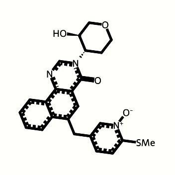 CSc1ccc(Cc2cc3c(=O)n([C@H]4CCOC[C@@H]4O)cnc3c3ccccc23)c[n+]1[O-]